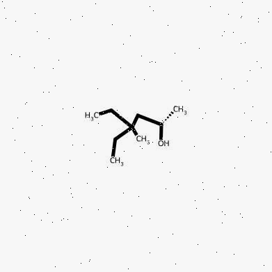 CCC(C)(CC)C[C@H](C)O